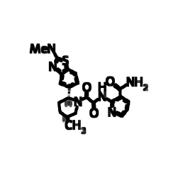 CNc1nc2cc([C@H]3CC[C@H](C)CN3C(=O)C(=O)Nc3ncccc3C(N)=O)ccc2s1